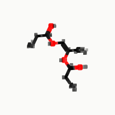 [CH2]C(=COC(=O)CC(C)=O)OC(=O)CC(C)=O